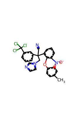 Cc1ccc(Oc2c([N+](=O)[O-])cccc2C(C#N)(Cn2ccnc2)c2cccc(C(Cl)(Cl)Cl)c2)cc1